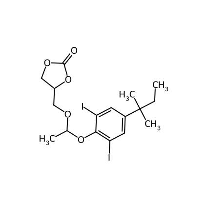 CCC(C)(C)c1cc(I)c(OC(C)OCC2COC(=O)O2)c(I)c1